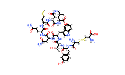 CSCCC(NC(=O)[C@H](CCC(N)=O)NC(=O)C(CC(N)=O)NC(=O)[C@H](Cc1c[nH]c2ccccc12)NC(=O)[C@@H](NC(=O)[C@H](Cc1ccc(O)cc1)NC(=O)C(N)CSSCC(N)C(=O)O)[C@@H](C)O)C(=O)N[C@@H](CC(N)=O)C(=O)NC(CC(C)C)C(=O)O